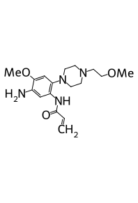 C=CC(=O)Nc1cc(N)c(OC)cc1N1CCN(CCOC)CC1